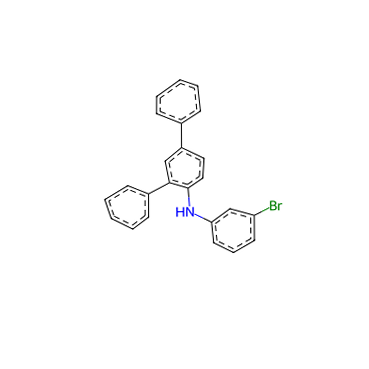 Brc1cccc(Nc2ccc(-c3ccccc3)cc2-c2ccccc2)c1